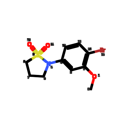 COc1cc(N2CCCS2(=O)=O)ccc1Br